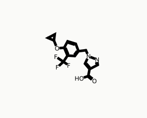 O=C(O)c1cnn(Cc2ccc(OC3CC3)c(C(F)(F)F)c2)c1